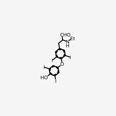 CCNC(C=O)Cc1cc(I)c(Oc2cc(I)c(O)c(I)c2)c(I)c1